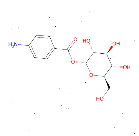 Nc1ccc(C(=O)O[C@H]2O[C@H](CO)[C@@H](O)[C@H](O)[C@H]2O)cc1